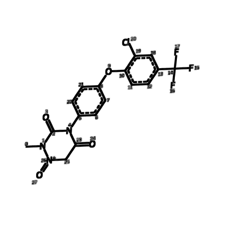 CN1C(=O)N(c2ccc(Oc3ccc(C(F)(F)F)cc3Cl)cc2)C(=O)C[N+]1=O